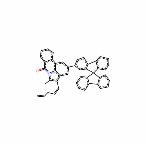 C=CC/C=C\c1c(C)n2c(=O)c3ccccc3c3cc(-c4ccc5c(c4)C4(c6ccccc6-c6ccccc64)c4ccccc4-5)cc1c32